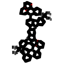 CC(C)(C)c1ccc2c(c1)c1c(N(c3ccccc3-c3ccccc3)c3cccc4ccccc34)ccc3c4cc5c(cc4n2c31)c1ccc(N(c2ccccc2-c2ccccc2)c2cccc3ccccc23)c2c3cc(C(C)(C)C)ccc3n5c12